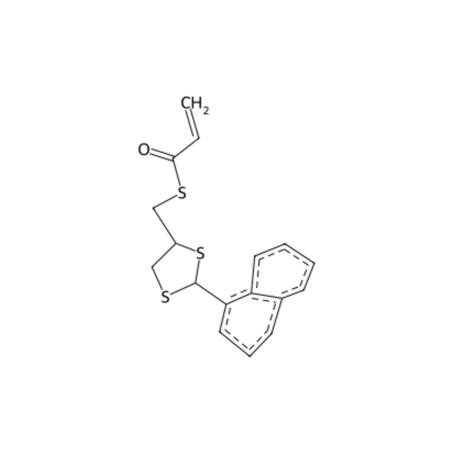 C=CC(=O)SCC1CSC(c2cccc3ccccc23)S1